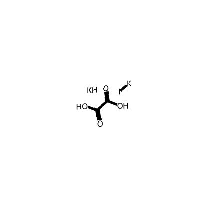 O=C(O)C(=O)O.[KH].[K][I]